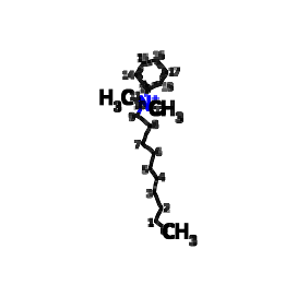 CCCCCCCCCC[N+](C)(C)c1ccccc1